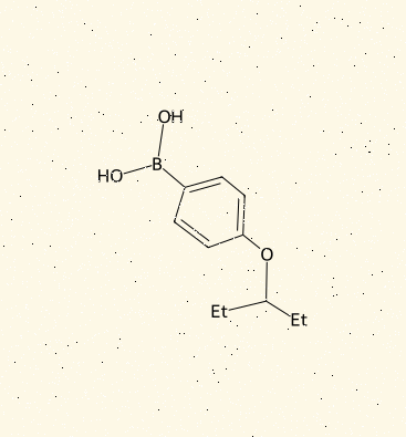 CCC(CC)Oc1ccc(B(O)O)cc1